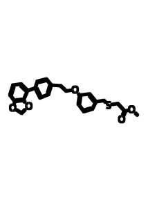 COC(=O)CSCc1cccc(OCCc2ccc(-c3cccc4c3OCO4)cc2)c1